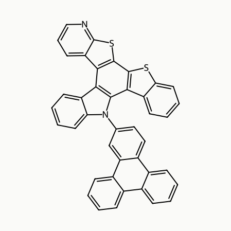 c1ccc2c(c1)sc1c3sc4ncccc4c3c3c4ccccc4n(-c4ccc5c6ccccc6c6ccccc6c5c4)c3c21